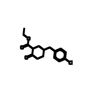 CCOC(=O)C1CC(Cc2ccc(Cl)cc2)CCC1=O